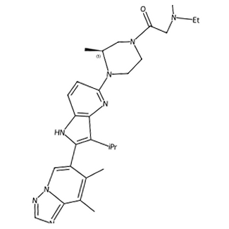 CCN(C)CC(=O)N1CCN(c2ccc3[nH]c(-c4cn5ncnc5c(C)c4C)c(C(C)C)c3n2)[C@@H](C)C1